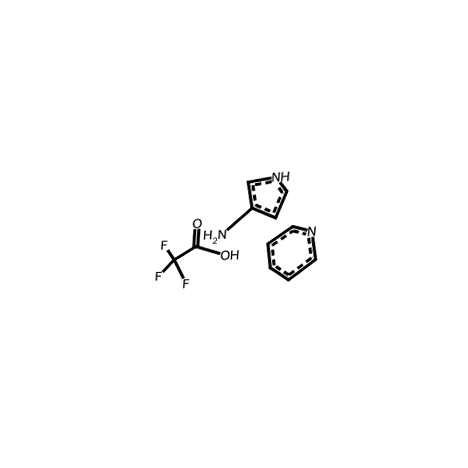 Nc1cc[nH]c1.O=C(O)C(F)(F)F.c1ccncc1